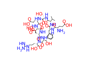 CC(C)[C@H](NC(=O)[C@H](Cc1ccccc1)NC(=O)[C@@H](N)CCC(=O)O)C(=O)N[C@@H](CO)C(=O)N[C@@H](CCC(=O)O)C(=O)N[C@H](C(=O)N[C@@H](CCC(=O)O)C(=O)N[C@@H](CO)C(=O)N[C@@H](CCCNC(=N)N)C(=O)O)[C@@H](C)O